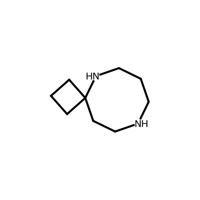 C1CNCCC2(CCC2)NC1